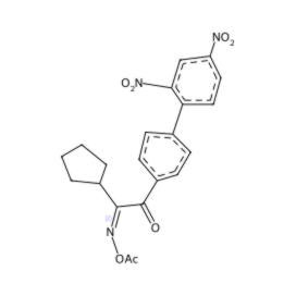 CC(=O)O/N=C(\C(=O)c1ccc(-c2ccc([N+](=O)[O-])cc2[N+](=O)[O-])cc1)C1CCCC1